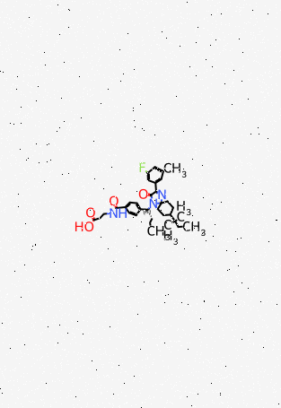 CCC[C@H](c1ccc(C(=O)NCCC(=O)O)cc1)N1C(=O)C(c2cc(C)cc(F)c2)=NC12CCC(C(C)(C)CC)CC2